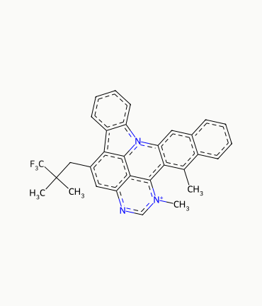 Cc1c2ccccc2cc2c1c1c3c(cc(CC(C)(C)C(F)(F)F)c4c5ccccc5n2c43)nc[n+]1C